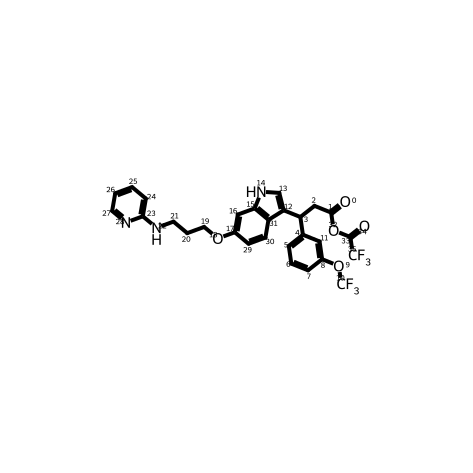 O=C(CC(c1cccc(OC(F)(F)F)c1)c1c[nH]c2cc(OCCCNc3ccccn3)ccc12)OC(=O)C(F)(F)F